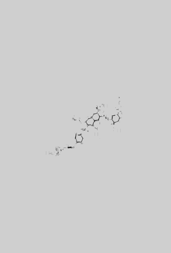 COCCS(=O)(=O)c1ccc(OC)c(N=Nc2c(S(=O)(=O)O)cc3cc(SOOO)c(N=Nc4ccc(SC#COOS(=O)(=O)O)cc4)c(N)c3c2O)c1